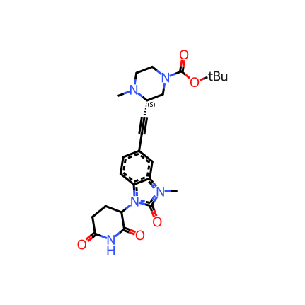 CN1CCN(C(=O)OC(C)(C)C)C[C@@H]1C#Cc1ccc2c(c1)n(C)c(=O)n2C1CCC(=O)NC1=O